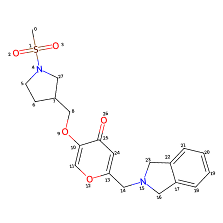 CS(=O)(=O)N1CCC(COc2coc(CN3Cc4ccccc4C3)cc2=O)C1